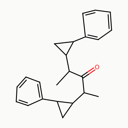 CC(C(=O)C(C)C1CC1c1ccccc1)C1CC1c1ccccc1